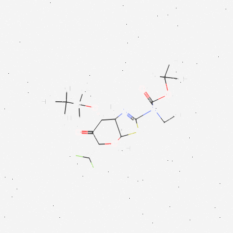 CCN(C(=O)OC(C)(C)C)C1=N[C@H]2[C@H](O[C@H](C(F)F)C(=O)[C@@H]2O[Si](C)(C)C(C)(C)C)S1